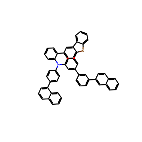 c1cc(-c2cccc(N(c3ccc(-c4cccc5ccccc45)cc3)c3ccccc3-c3ccc4sc5ccccc5c4c3)c2)cc(-c2ccc3ccccc3c2)c1